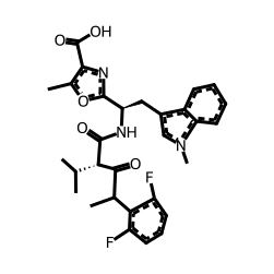 Cc1oc([C@@H](Cc2cn(C)c3ccccc23)NC(=O)[C@H](C(=O)C(C)c2c(F)cccc2F)C(C)C)nc1C(=O)O